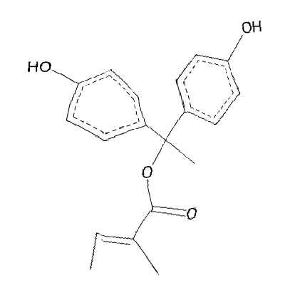 CC=C(C)C(=O)OC(C)(c1ccc(O)cc1)c1ccc(O)cc1